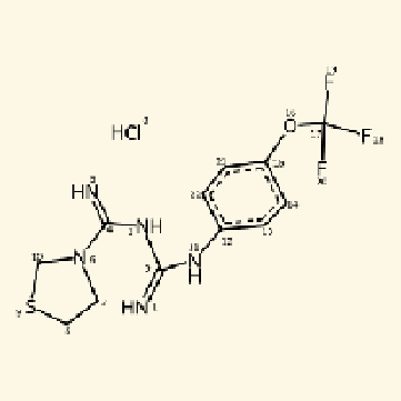 Cl.N=C(NC(=N)N1CCSC1)Nc1ccc(OC(F)(F)F)cc1